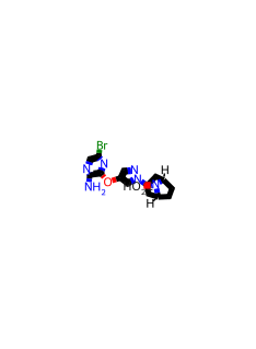 Nc1ncc(Br)nc1Oc1cnn(C2C[C@H]3CC[C@@H](C2)N3C(=O)O)c1